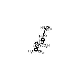 CC(=N)NCCCC(=O)Nc1ccc(CC(NC(=O)C2CCCN2S(=O)(=O)c2cc(C)cc(C)c2)C(=O)O)cc1